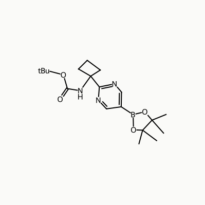 CC(C)(C)OC(=O)NC1(c2ncc(B3OC(C)(C)C(C)(C)O3)cn2)CCC1